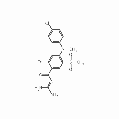 CCc1cc(N(C)c2ccc(Cl)cc2)c(S(C)(=O)=O)cc1C(=O)N=C(N)N